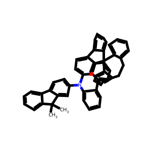 CC1(C)c2ccccc2-c2ccc(N(c3ccc4c(c3)C3(c5ccccc5CCc5ccccc53)c3ccccc3-4)c3ccccc3-c3ccccc3)cc21